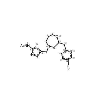 CC(=O)Nc1ncc(CN2CCCOC(Cc3ncc(F)cn3)C2)s1